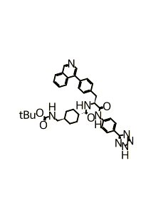 CC(C)(C)OC(=O)NC[C@H]1CC[C@H](C(=O)N[C@@H](Cc2ccc(-c3cncc4ccccc34)cc2)C(=O)Nc2ccc(-c3nn[nH]n3)cc2)CC1